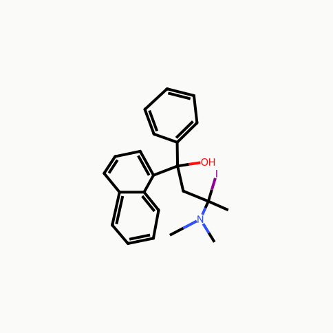 CN(C)C(C)(I)CC(O)(c1ccccc1)c1cccc2ccccc12